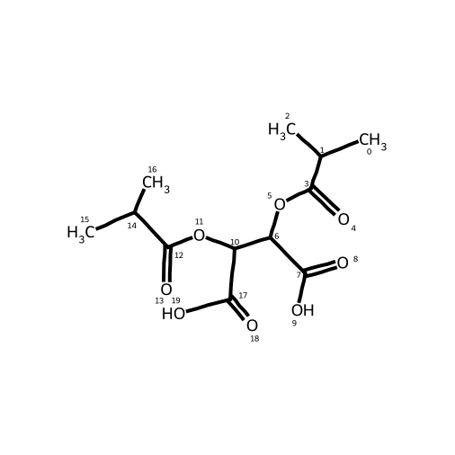 CC(C)C(=O)OC(C(=O)O)C(OC(=O)C(C)C)C(=O)O